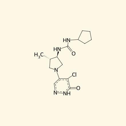 C[C@H]1CN(c2cn[nH]c(=O)c2Cl)C[C@@H]1NC(=O)NC1CCCC1